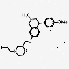 COc1ccc(C2CN(C)Cc3cc(OCC4CN(CCF)CCO4)ccc32)cc1